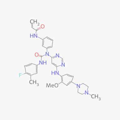 C=CC(=O)Nc1cccc(N(C(=O)Nc2ccc(F)c(C)c2)c2cc(Nc3ccc(N4CCN(C)CC4)cc3OC)ncn2)c1